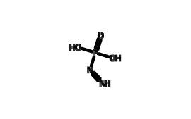 N=NP(=O)(O)O